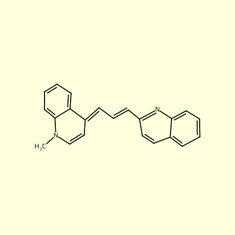 CN1C=CC(=CC=Cc2ccc3ccccc3n2)c2ccccc21